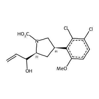 C=CC(O)[C@@H]1C[C@H](c2c(OC)ccc(Cl)c2Cl)CN1C(=O)O